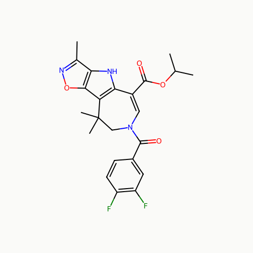 Cc1noc2c3c([nH]c12)C(C(=O)OC(C)C)=CN(C(=O)c1ccc(F)c(F)c1)CC3(C)C